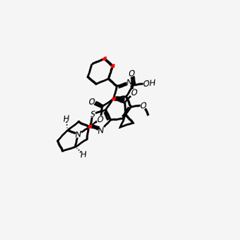 COc1cc2nc(N3[C@@H]4CC[C@H]3C[C@@H](OC(=O)c3c(C56CCC(CC5)CC6)noc3C3CC3)C4)sc2cc1C(=O)O